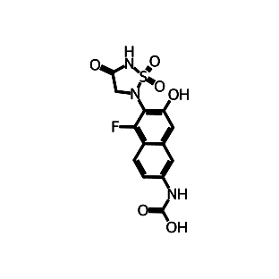 O=C(O)Nc1ccc2c(F)c(N3CC(=O)NS3(=O)=O)c(O)cc2c1